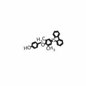 Cc1cc([SH]2c3ccccc3-c3ccccc32)cc(C)c1OCc1ccc(O)cc1